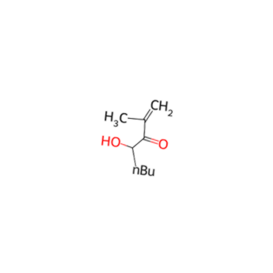 [CH2]CCCC(O)C(=O)C(=C)C